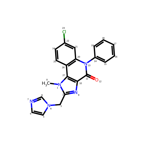 Cn1c(Cn2ccnc2)nc2c(=O)n(-c3ccccc3)c3cc(Cl)ccc3c21